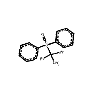 CCC(C)(C(C)C)[SH](=O)(c1ccccc1)c1ccccc1